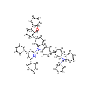 c1ccc(-c2cc(-c3ccccc3)nc(-n3c4ccc(-c5ccc6c7ccccc7n(-c7ccccc7)c6c5)cc4c4ccc(-c5cccc6c5oc5ccccc56)cc43)c2)cc1